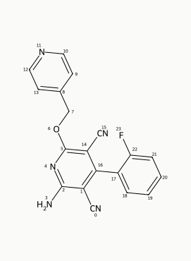 N#Cc1c(N)nc(OCc2ccncc2)c(C#N)c1-c1ccccc1F